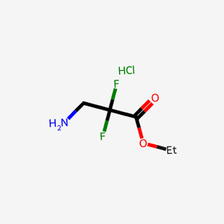 CCOC(=O)C(F)(F)CN.Cl